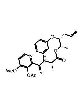 C=CC[C@@H](Oc1ccccc1)[C@H](C)OC(=O)[C@H](C)NC(=S)c1nccc(OC)c1OC(C)=O